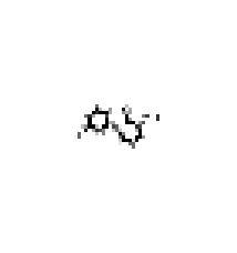 Nc1cccn(-c2cccc(F)n2)c1=O